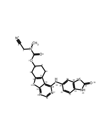 CN(CC#N)C(=O)OC1CCc2c(sc3ncnc(Nc4ccc5[nH]c(=O)sc5c4)c23)C1